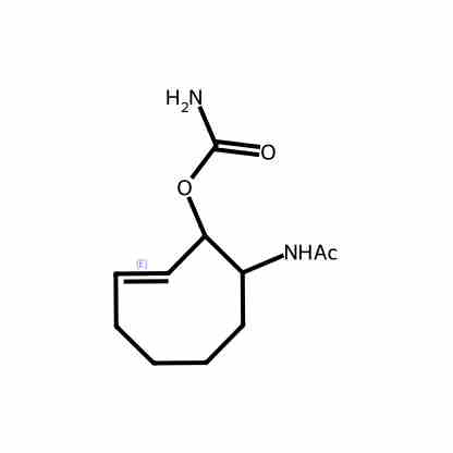 CC(=O)NC1CCCC/C=C/C1OC(N)=O